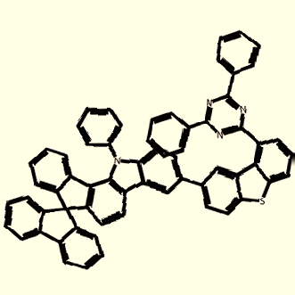 c1ccc(-c2nc(-c3ccccc3)nc(-c3cccc4sc5ccc(-c6ccc7c(c6)c6ccc8c(c6n7-c6ccccc6)-c6ccccc6C86c7ccccc7-c7ccccc76)cc5c34)n2)cc1